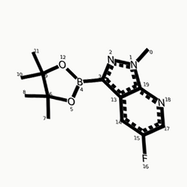 Cn1nc(B2OC(C)(C)C(C)(C)O2)c2cc(F)cnc21